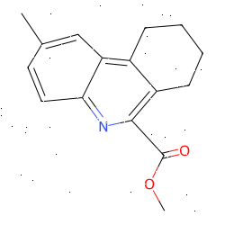 COC(=O)c1nc2ccc(C)cc2c2c1CCCC2